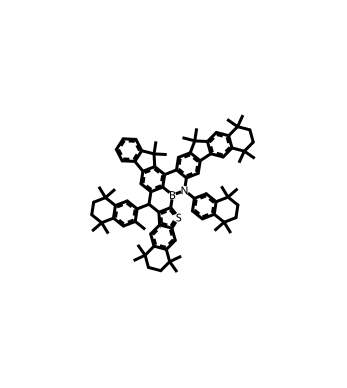 Cc1cc2c(cc1C1c3cc4c(c5c3B(c3sc6cc7c(cc6c31)C(C)(C)CCC7(C)C)N(c1ccc3c(c1)C(C)(C)CCC3(C)C)c1cc3c(cc1-5)C(C)(C)c1cc5c(cc1-3)C(C)(C)CCC5(C)C)C(C)(C)c1ccccc1-4)C(C)(C)CCC2(C)C